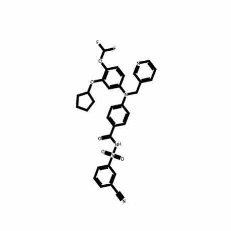 N#Cc1cccc(S(=O)(=O)NC(=O)c2ccc(N(Cc3cccnc3)c3ccc(OC(F)F)c(OC4CCCC4)c3)cc2)c1